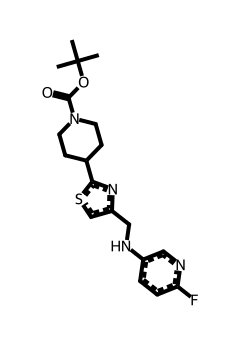 CC(C)(C)OC(=O)N1CCC(c2nc(CNc3ccc(F)nc3)cs2)CC1